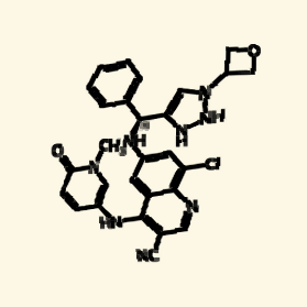 Cn1cc(Nc2c(C#N)cnc3c(Cl)cc(N[C@H](C4=CN(C5COC5)NN4)c4ccccc4)cc23)ccc1=O